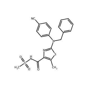 Cc1sc(N(Cc2ccccc2)c2ccc(C#N)cc2)nc1C(=O)NS(C)(=O)=O